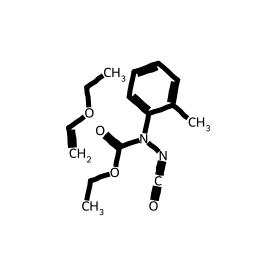 C=COCC.CCOC(=O)N(N=C=O)c1ccccc1C